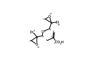 C=C(C)C(=O)O.CCC1(COCC2(CC)CO2)CO1